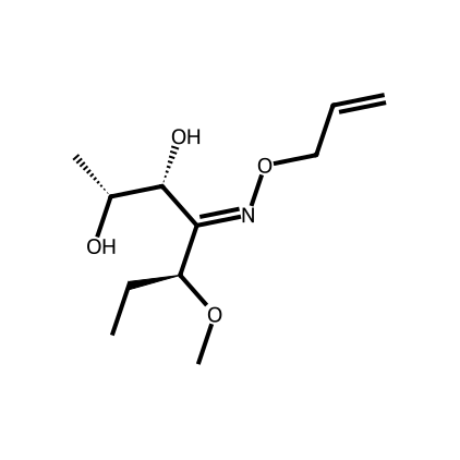 C=CCO/N=C(/[C@H](CC)OC)[C@@H](O)[C@@H](C)O